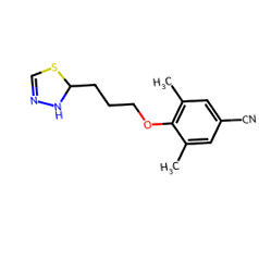 Cc1cc(C#N)cc(C)c1OCCCC1NN=CS1